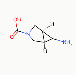 NC1[C@H]2CN(C(=O)O)C[C@@H]12